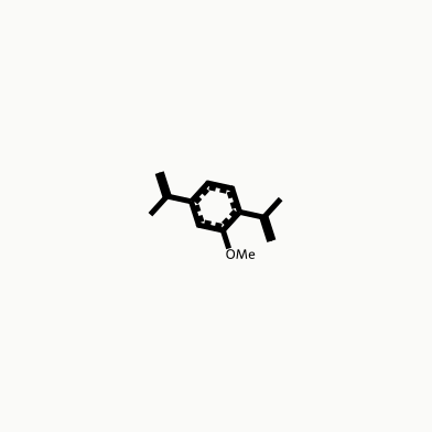 C=C(C)c1ccc(C(=C)C)c(OC)c1